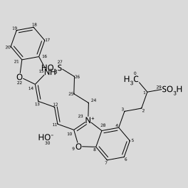 CC(CCc1cccc2oc(C=CC=C3Nc4ccccc4O3)[n+](CCCS(=O)(=O)O)c12)S(=O)(=O)O.[OH-]